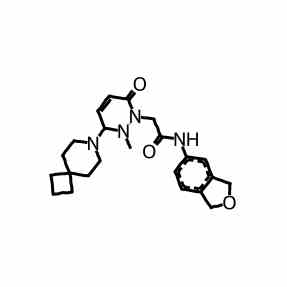 CN1C(N2CCC3(CCC3)CC2)C=CC(=O)N1CC(=O)Nc1ccc2c(c1)COC2